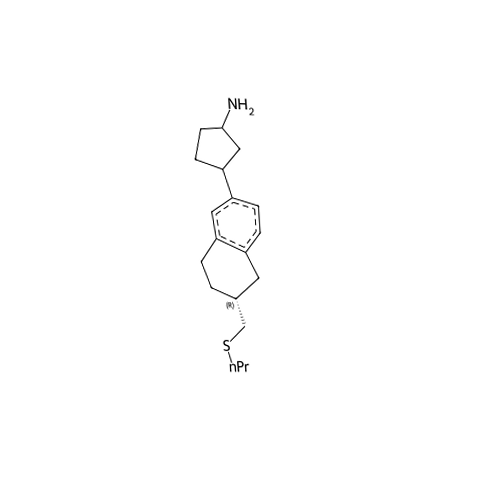 CCCSC[C@@H]1CCc2cc(C3CCC(N)C3)ccc2C1